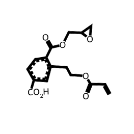 C=CC(=O)OCCc1cc(C(=O)O)ccc1C(=O)OCC1CO1